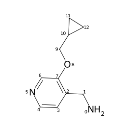 NCc1ccncc1OCC1CC1